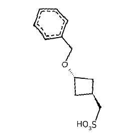 O=S(=O)(O)C[C@H]1C[C@H](OCc2ccccc2)C1